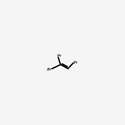 CC(C)C=C(C(C)C)C(C)C